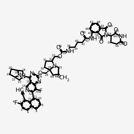 C#Cc1c(F)ccc2cccc(-c3ncc4c(N5CC6CCC(C5)N6)nc(OC[C@@]56CCC(COC(=O)NCCCCC(=O)Nc7cccc8c7C(=O)N(C7CCC(=O)NC7=O)C8=O)N5CC(=C)C6)nc4c3F)c12